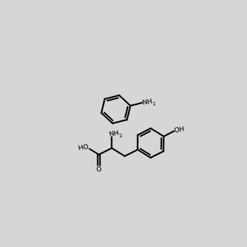 NC(Cc1ccc(O)cc1)C(=O)O.Nc1ccccc1